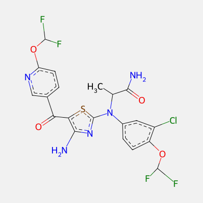 CC(C(N)=O)N(c1ccc(OC(F)F)c(Cl)c1)c1nc(N)c(C(=O)c2ccc(OC(F)F)nc2)s1